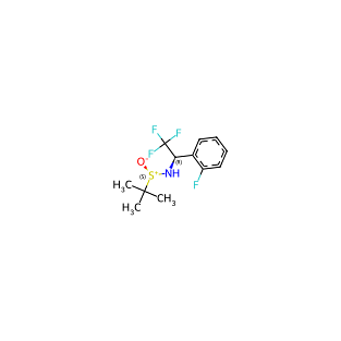 CC(C)(C)[S@@+]([O-])N[C@H](c1ccccc1F)C(F)(F)F